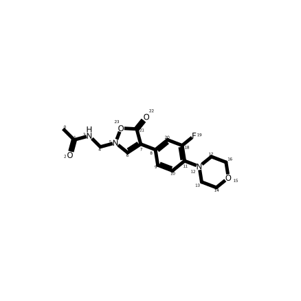 CC(=O)NCn1cc(-c2ccc(N3CCOCC3)c(F)c2)c(=O)o1